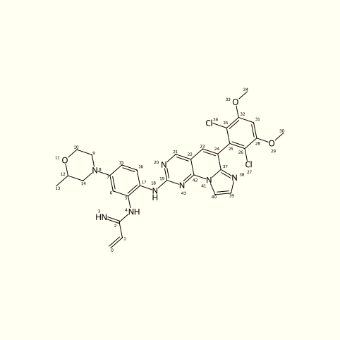 C=CC(=N)Nc1cc(N2CCOC(C)C2)ccc1Nc1ncc2cc(-c3c(Cl)c(OC)cc(OC)c3Cl)c3nccn3c2n1